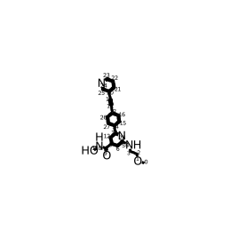 COCCNc1cc(C(=O)NO)cc(-c2ccc(C#Cc3cccnc3)cc2)n1